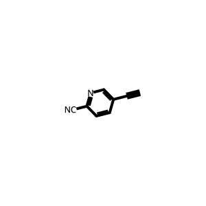 C#Cc1ccc(C#N)nc1